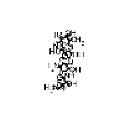 C[C@H]1[C@@H](O[C@H]2[C@@H](O)[C@H](O[C@H]3[C@H](C)[C@@H](N)C[C@@H](NC(=O)[C@@H](O)C(F)(F)CN)[C@@H]3O)O[C@@H]2CO)O[C@@H](CN)[C@@H](O)[C@@H]1O